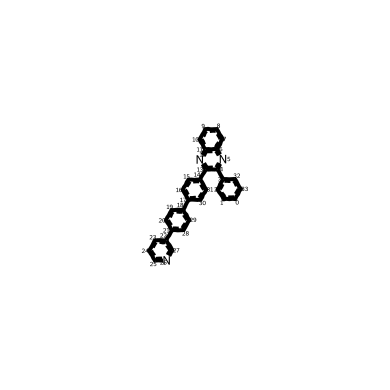 c1ccc(-c2nc3ccccc3nc2-c2ccc(-c3ccc(-c4cccnc4)cc3)cc2)cc1